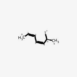 C/C=C\C=C/[C@H](C)I